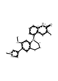 COc1cc2c(cc1-c1cnn(C)c1)CCCN2c1cccc2[nH]c(=O)c(C)cc12